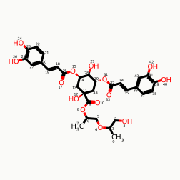 CC(CO)OCC(C)OC(=O)[C@]1(O)C[C@@H](OC(=O)/C=C/c2ccc(O)c(O)c2)[C@@H](O)[C@H](OC(=O)/C=C/c2ccc(O)c(O)c2)C1